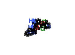 C[C@@H](Oc1ccc2[nH]nc(C(=O)Nc3cnn(CC4CCCN4C)c3)c2c1)c1c(Cl)cncc1Cl